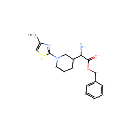 CCOC(=O)c1csc(N2CCCC(C(N)C(=O)OCc3ccccc3)C2)n1